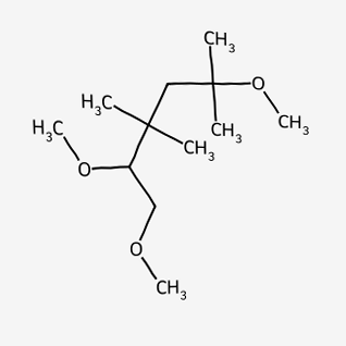 COCC(OC)C(C)(C)CC(C)(C)OC